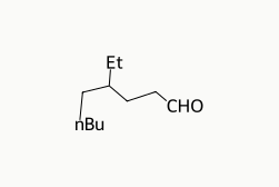 CCCCCC(CC)CCC=O